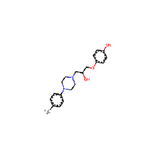 Oc1ccc(OCC(O)CN2CCN(c3ccc(C(F)(F)F)cc3)CC2)cc1